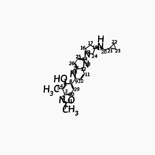 Cc1nc2c(C)c(O)c(-c3ccc4nc(N5CC[C@@H](NCC6CC6)C5)ccc4n3)cc2o1